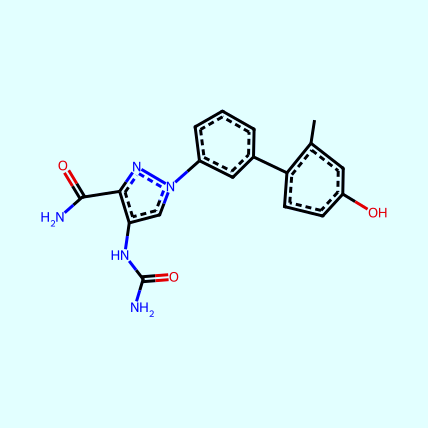 Cc1cc(O)ccc1-c1cccc(-n2cc(NC(N)=O)c(C(N)=O)n2)c1